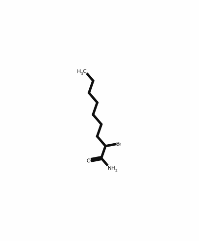 CCCCCCCC(Br)C(N)=O